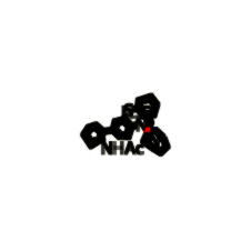 C=CCN1C2CCC1CC(N1c3ccccc3Sc3cc(-c4ccccc4NC(C)=O)ccc31)C2